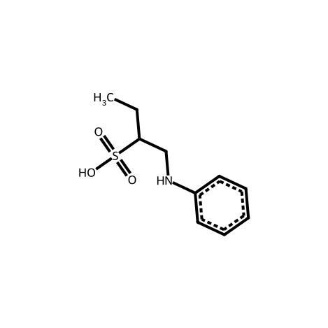 CCC(CNc1ccccc1)S(=O)(=O)O